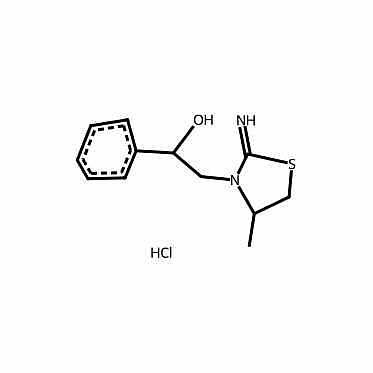 CC1CSC(=N)N1CC(O)c1ccccc1.Cl